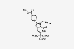 CC#CCN1C(N2CCN(C(=O)OC(C)(C)C)CC2)=NC2C=C(C(OC)(OC)OC)NC(=O)C21